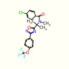 CN(C(=O)C1C=CC(Cl)=CC1)C(C)(C)c1nc(-c2ccc(OC(F)(F)F)cc2)no1